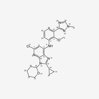 COc1c(Nc2cc(Cl)nc3c2nc(C2CC2)n3C2CCCCO2)cccc1-c1ncn(C)n1